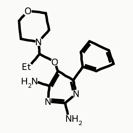 CCC(Oc1c(N)nc(N)nc1-c1ccccc1)N1CCOCC1